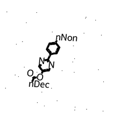 CCCCCCCCCCC(=O)Oc1cnc(-c2ccc(CCCCCCCCC)cc2)nc1